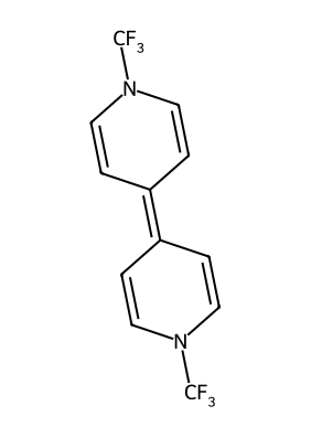 FC(F)(F)N1C=CC(=C2C=CN(C(F)(F)F)C=C2)C=C1